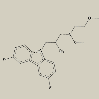 COCCN(CC(O)Cn1c2ccc(F)cc2c2cc(F)ccc21)SC